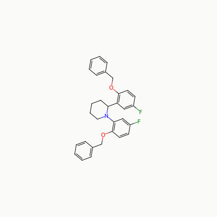 Fc1ccc(OCc2ccccc2)c(C2CCCCN2c2cc(F)ccc2OCc2ccccc2)c1